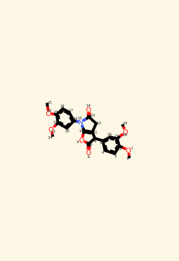 COc1ccc(C2C(=O)OC3=C2CC(=O)N3c2ccc(OC)c(OC)c2)cc1OC